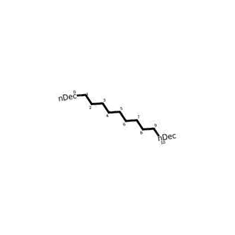 CCCCC[CH]CCCCCCCCCCCCCCCCCCCCCCC